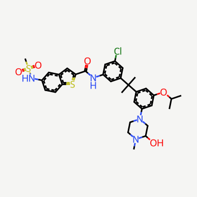 CC(C)Oc1cc(N2CCN(C)C(O)C2)cc(C(C)(C)c2cc(Cl)cc(NC(=O)c3cc4cc(NS(C)(=O)=O)ccc4s3)c2)c1